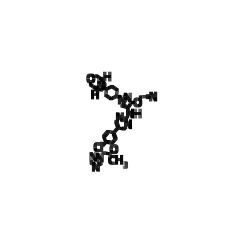 CC(Cn1cncn1)Oc1cc(-c2cnc(Nc3cn(C4CCC(N5[C@@H]6CC[C@H]5COC6)CC4)nc3OCC#N)nc2)ccc1Cl